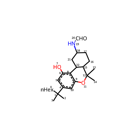 CCCCCCC(C)(C)c1cc(O)c2c(c1)OC(C)(C)C1CCC(NC=O)CC21